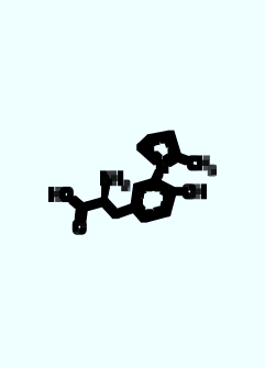 Cc1cccn1-c1cc(C[C@H](N)C(=O)O)ccc1O